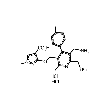 Cc1ccc(-c2c(COc3nn(C)cc3C(=O)O)c(C)nc(CC(C)(C)C)c2CN)cc1.Cl.Cl